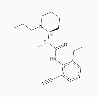 CCCN1CCCC[C@H]1[C@@H](C)C(=O)Nc1c(C#N)cccc1CC